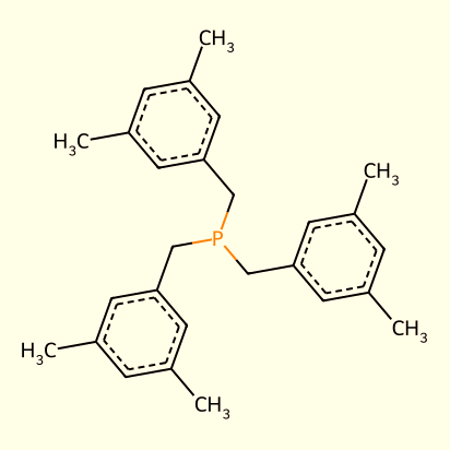 Cc1cc(C)cc(CP(Cc2cc(C)cc(C)c2)Cc2cc(C)cc(C)c2)c1